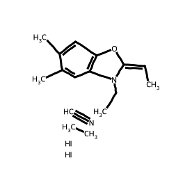 C#N.CC.CC=C1Oc2cc(C)c(C)cc2N1CC.I.I